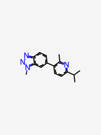 Cc1nc(C(C)C)ccc1-c1ccc2nnn(C)c2c1